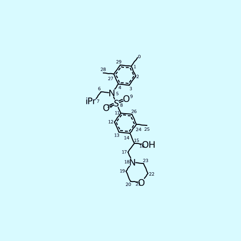 Cc1ccc(N(CC(C)C)S(=O)(=O)c2ccc(C(O)CN3CCOCC3)c(C)c2)c(C)c1